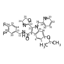 CC(C)Oc1ccc2c(C(=O)NCc3ccc(F)c(F)c3)c(C3=NCCO3)n(Cc3ccccn3)c2c1